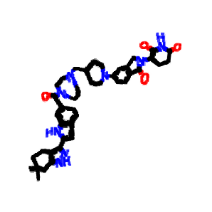 CC1(C)CCc2c(-c3cc4ccc(C(=O)N5CCN(CC6CCN(c7ccc8c(c7)CN(C7CCC(=O)NC7=O)C8=O)CC6)CC5)cc4[nH]3)n[nH]c2C1